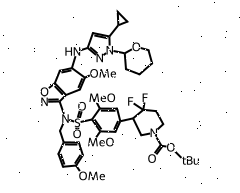 COc1ccc(CN(c2noc3cc(Nc4cc(C5CC5)n(C5CCCCO5)n4)c(OC)cc23)S(=O)(=O)c2c(OC)cc(C3CN(C(=O)OC(C)(C)C)CCC3(F)F)cc2OC)cc1